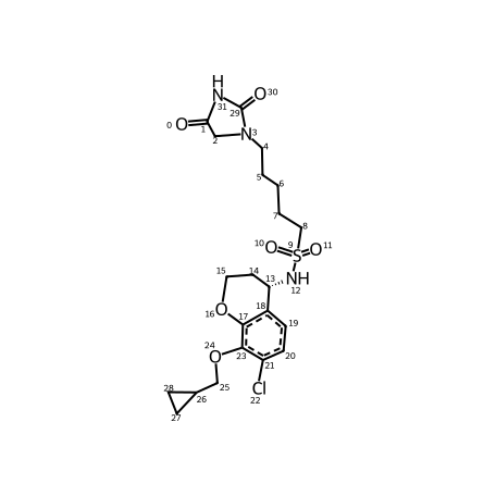 O=C1CN(CCCCCS(=O)(=O)N[C@H]2CCOc3c2ccc(Cl)c3OCC2CC2)C(=O)N1